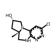 C[C@]12CNc3nnc(Cl)cc3N1C[C@@H](O)C2